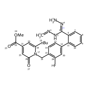 C=NN/C(=N\N)c1ccccc1-c1ccc(Cn2c(CCCC)cc(C(=O)OC)cc2=O)c(F)c1